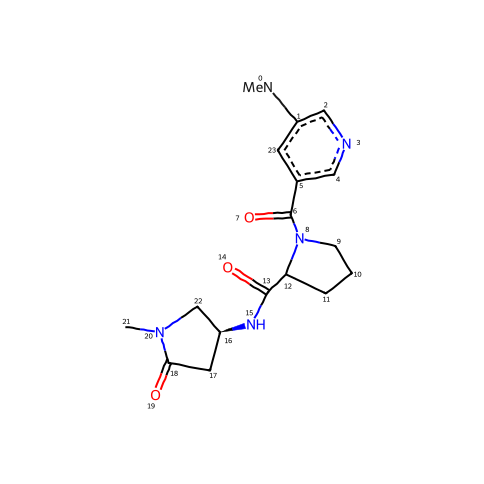 CNc1cncc(C(=O)N2CCCC2C(=O)N[C@H]2CC(=O)N(C)C2)c1